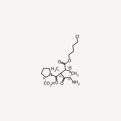 C[C@H](N)C(=O)[C@@](C)(C(=O)N1CCC[C@H]1C(=O)O)C(S)C(=O)OCCCCCl